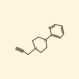 C#CCN1CCN(c2ccccn2)CC1